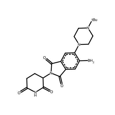 Bc1cc2c(cc1N1CCN(C(C)(C)C)CC1)C(=O)N(C1CCC(=O)NC1=O)C2=O